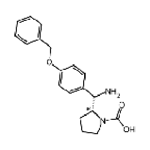 NC(c1ccc(OCc2ccccc2)cc1)[C@H]1CCCN1C(=O)O